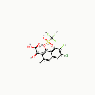 Cc1cc2cc(Cl)c(F)cc2c(OS(=O)(=O)C(F)(F)F)c1C(=O)C(=O)O